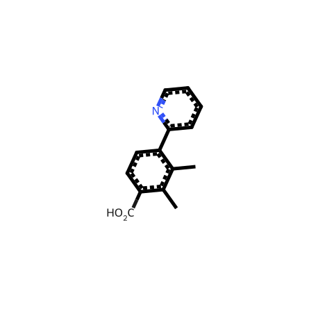 Cc1c(C(=O)O)ccc(-c2ccccn2)c1C